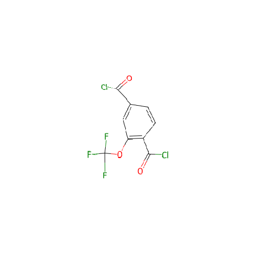 O=C(Cl)c1ccc(C(=O)Cl)c(OC(F)(F)F)c1